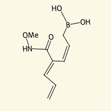 C=C/C=C(\C=C/CB(O)O)C(=O)NOC